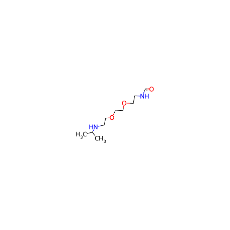 CC(C)NCCOCCOCCNC=O